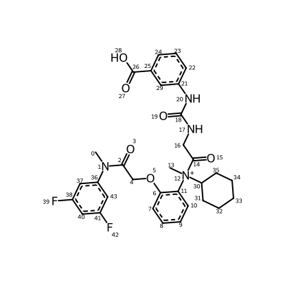 CN(C(=O)COc1ccccc1[N+](C)(C(=O)CNC(=O)Nc1cccc(C(=O)O)c1)C1CCCCC1)c1cc(F)cc(F)c1